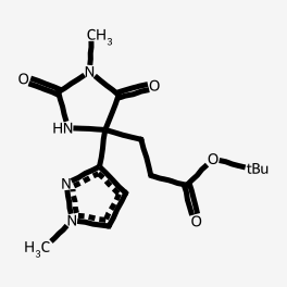 CN1C(=O)NC(CCC(=O)OC(C)(C)C)(c2ccn(C)n2)C1=O